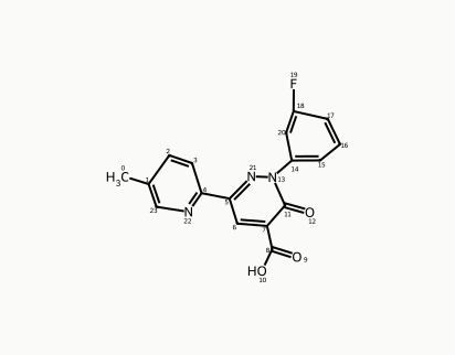 Cc1ccc(-c2cc(C(=O)O)c(=O)n(-c3cccc(F)c3)n2)nc1